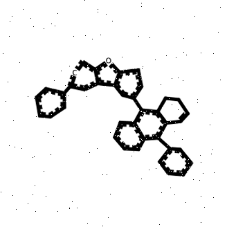 C1=Cc2c(c(-c3ccc4oc5ccc(-c6ccccc6)cc5c4c3)c3ccccc3c2-c2ccccc2)CC1